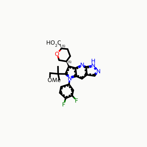 COCC(C)(C)c1c([C@@H]2CC[C@@H](C(=O)O)OC2)c2nc3[nH]ncc3cc2n1-c1ccc(F)c(F)c1